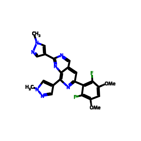 COc1cc(OC)c(F)c(-c2cc3cnc(-c4cnn(C)c4)nc3c(-c3cnn(C)c3)n2)c1F